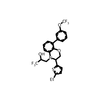 CCc1ccc(C2COc3c(-c4cccc(OC(F)(F)F)c4)cccc3N2CC(O)C(F)(F)F)s1